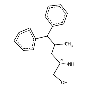 CC(C[C@H]([NH])CO)C(c1ccccc1)c1ccccc1